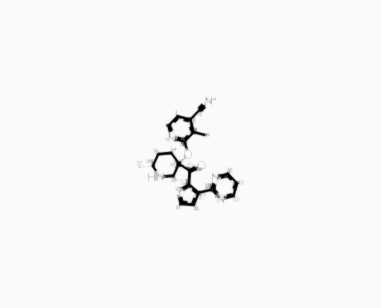 Cc1c(C#N)ccnc1O[C@]1(C(=O)c2sccc2-c2ncccn2)CC[C@@H](C)NC1